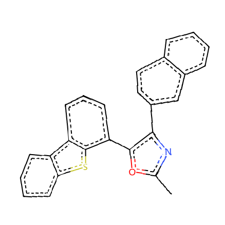 Cc1nc(-c2ccc3ccccc3c2)c(-c2cccc3c2sc2ccccc23)o1